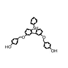 Oc1ccc(COc2ccc3c(c2)-c2cc(OCc4ccc(O)cc4)ccc2[SH]3c2ccccc2)cc1